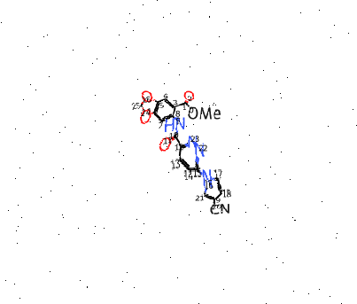 COC(=O)c1cc2c(cc1NC(=O)c1ccc(-n3ccc(C#N)c3)nn1)OCO2